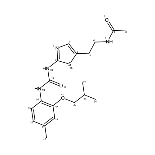 CC(=O)NCCc1cnc(NC(=O)Nc2ccc(C)cc2OCC(C)C)s1